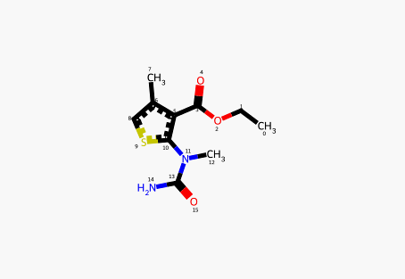 CCOC(=O)c1c(C)csc1N(C)C(N)=O